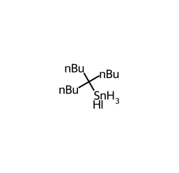 CCCC[C]([SnH3])(CCCC)CCCC.I